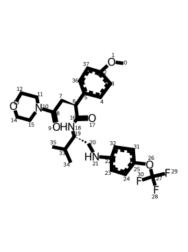 COc1ccc([C@H](CC(=O)N2CCOCC2)C(=O)N[C@H](CNc2ccc(OC(F)(F)F)cc2)C(C)C)cc1